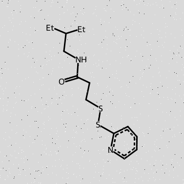 CCC(CC)CNC(=O)CCSSc1ccccn1